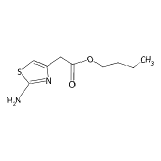 CCCCOC(=O)Cc1csc(N)n1